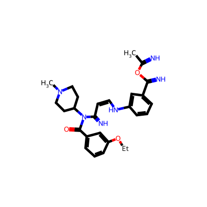 CCOc1cccc(C(=O)N(C(=N)/C=C\Nc2cccc(C(=N)OC(C)=N)c2)C2CCN(C)CC2)c1